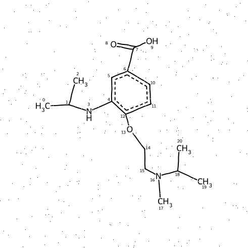 CC(C)Nc1cc(C(=O)O)ccc1OCCN(C)C(C)C